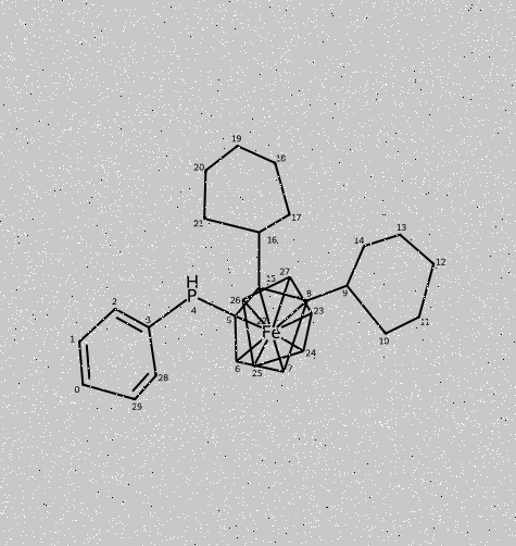 c1ccc(P[C]23[CH]4[CH]5[C]6(C7CCCCC7)[C]2(C2CCCCC2)[Fe]45362789[CH]3[CH]2[CH]7[CH]8[CH]39)cc1